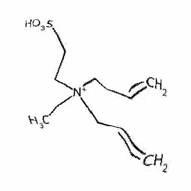 C=CC[N+](C)(CC=C)CCS(=O)(=O)O